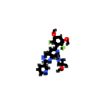 COc1cc(OC)c(F)c(-c2cc3cnc(-c4cccnc4)nc3c(N3CC(C)(OC)C3)n2)c1F